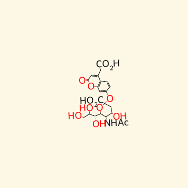 CC(=O)NC1C(O)CC(Oc2ccc3c(CC(=O)O)cc(=O)oc3c2)(C(=O)O)OC1[C@H](O)[C@H](O)CO